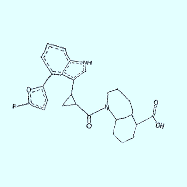 O=C(O)C1CCCC2C1CCCN2C(=O)C1CC1c1c[nH]c2cccc(-c3ccc(F)o3)c12